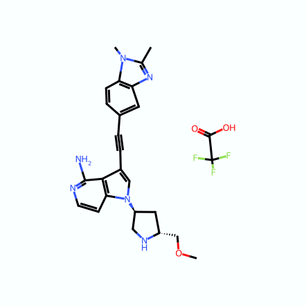 COC[C@H]1C[C@H](n2cc(C#Cc3ccc4c(c3)nc(C)n4C)c3c(N)nccc32)CN1.O=C(O)C(F)(F)F